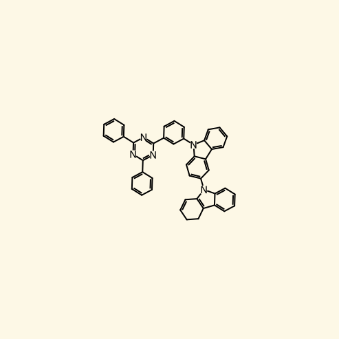 C1=Cc2c(c3ccccc3n2-c2ccc3c(c2)c2ccccc2n3-c2cccc(-c3nc(-c4ccccc4)nc(-c4ccccc4)n3)c2)CC1